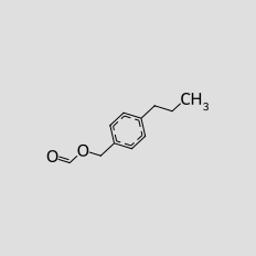 CCCc1ccc(COC=O)cc1